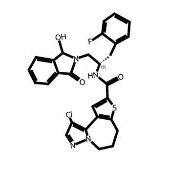 O=C(N[C@@H](Cc1ccccc1F)CN1C(=O)c2ccccc2C1O)c1cc2c(s1)CCCn1ncc(Cl)c1-2